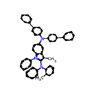 Cc1ccccc1N(c1ccccc1)c1c(C)c2cc(N(c3ccc(-c4ccccc4)cc3)c3ccc(-c4ccccc4)cc3)ccc2n1-c1ccccc1